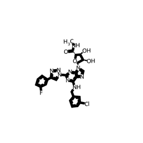 CNC(=O)[C@H]1O[C@@H](n2cnc3c(NCc4cccc(Cl)c4)nc(-n4cc(-c5cccc(F)c5)nn4)nc32)[C@H](O)[C@@H]1O